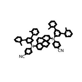 Cc1ccccc1-c1cc(-c2ccccc2C)cc(N(c2ccc(C#N)cc2)c2ccc3ccc4c(N(c5ccc(C#N)cc5)c5cc(-c6ccccc6C)cc(-c6ccccc6C)c5)ccc5ccc2c3c54)c1